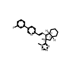 Cn1nnnc1[C@@]1(C)C[C@H]2CCCC[C@H]2[C@@H]1C=Cc1ccc(-c2cccc(F)c2)cn1